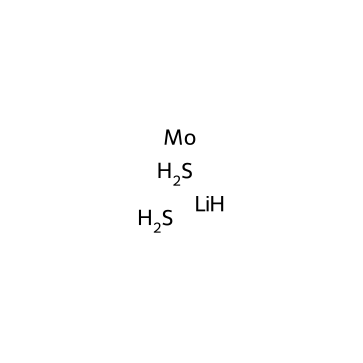 S.S.[LiH].[Mo]